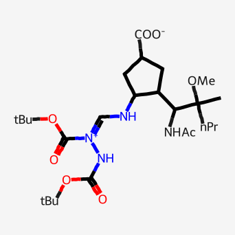 CCCC(C)(OC)C(NC(C)=O)C1CC(C(=O)[O-])CC1NC=[N+](NC(=O)OC(C)(C)C)C(=O)OC(C)(C)C